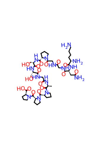 C[C@H](NC(=O)CNC(=O)[C@H](CO)NC(=O)[C@H](CO)NC(=O)[C@@H]1CCCN1C(=O)CNC(=O)CNC(=O)[C@H](CC(N)=O)NC(=O)[C@@H](N)CCCCN)C(=O)N1CCC[C@H]1C(=O)N1CCC[C@H]1C(=O)N1CCC[C@H]1C(=O)O